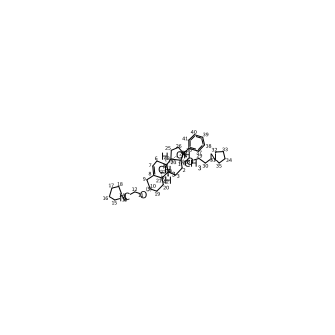 C[C@]12CC[C@H]3[C@@H](CC=C4C[C@@H](OCCN5CCCC5)CC[C@@]43C)[C@@]1(O)CC[C@]2(OCCN1CCCC1)c1ccccc1